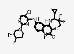 Cn1c(=O)c2c(c3cc(Nc4nc(N5CC[C@@H](F)[C@H](F)C5)ncc4Cl)ccc31)N[C@@H](C1CC1)C(F)(F)CO2